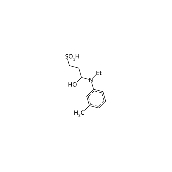 CCN(c1cccc(C)c1)C(O)CCS(=O)(=O)O